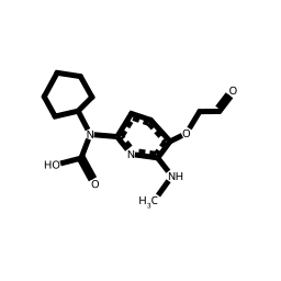 CNc1nc(N(C(=O)O)C2CCCCC2)ccc1OCC=O